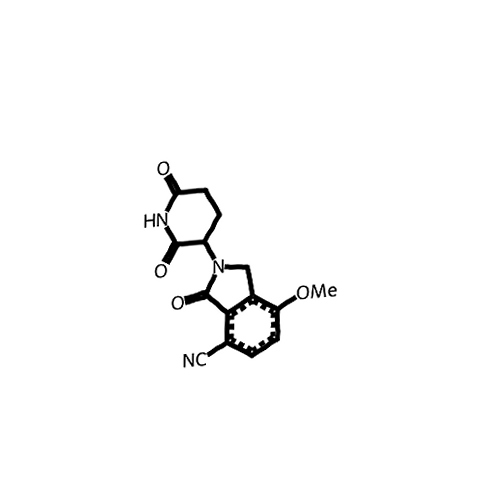 COc1ccc(C#N)c2c1CN(C1CCC(=O)NC1=O)C2=O